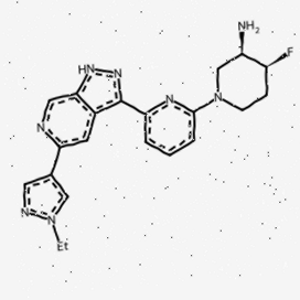 CCn1cc(-c2cc3c(-c4cccc(N5CC[C@H](F)[C@H](N)C5)n4)n[nH]c3cn2)cn1